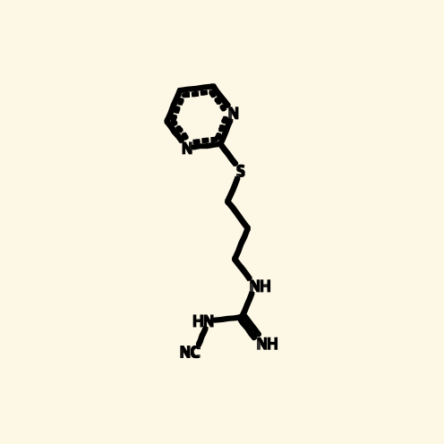 N#CNC(=N)NCCCSc1ncccn1